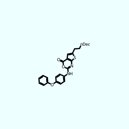 CCCCCCCCCCCCc1cc2c(=O)oc(Nc3ccc(Oc4ccccc4)cc3)nc2s1